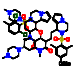 COc1cc(C)c(S(=O)(=O)N2CCn3cccc3C2CCC(C(=O)N(C)[C@@H]2CCC[C@@H](N3CCN(C)CC3)C2)C(OCC2c3cccn3CCN2S(=O)(=O)c2c(Cl)ccc(C)c2Cl)C(=O)N(C)[C@@H]2CCC[C@@H](N3CCN(C)CC3)C2)c(C)c1